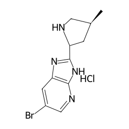 C[C@@H]1CNC(c2nc3cc(Br)cnc3[nH]2)C1.Cl